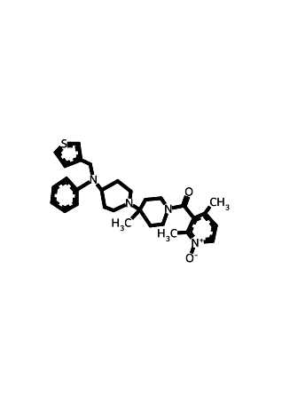 Cc1cc[n+]([O-])c(C)c1C(=O)N1CCC(C)(N2CCC(N(Cc3ccsc3)c3ccccc3)CC2)CC1